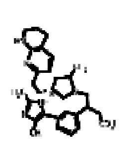 Cc1nc(C)c(-c2cccc(C(CC(=O)O)CN3C[C@H](CCc4ccc5c(n4)NCCC5)CC3C)c2)[nH]1